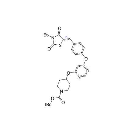 CCN1C(=O)S/C(=C\c2ccc(Oc3cc(OC4CCN(C(=O)OC(C)(C)C)CC4)ncn3)cc2)C1=O